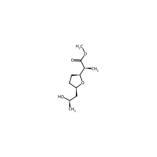 COC(=O)[C@@H](C)[C@@H]1CC[C@H](C[C@@H](C)O)O1